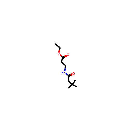 CCOC(=O)CCNC(=O)CC(C)(C)C